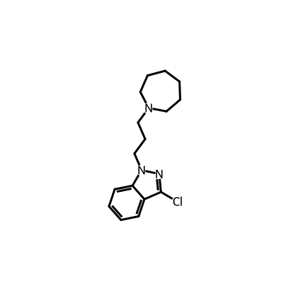 Clc1nn(CCCN2CCCCCC2)c2ccccc12